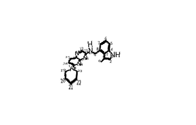 Cc1c[nH]c2cccc(CNc3cnc4ccc(N5CCCCC5)nc4n3)c12